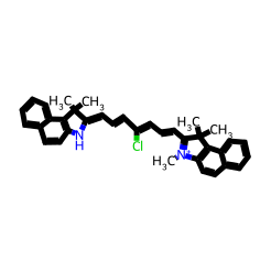 C[N+]1=C(/C=C/C=C(Cl)/C=C/C=C2\Nc3ccc4ccccc4c3C2(C)C)C(C)(C)c2c1ccc1ccccc21